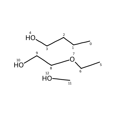 CCCCO.CCOCCO.CO